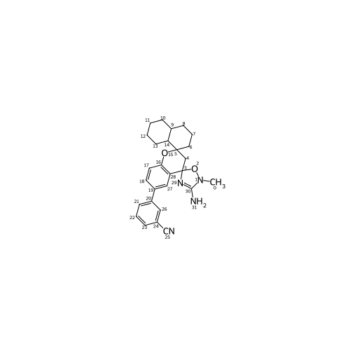 CN1OC2(CC3(CCCC4CCCCC43)Oc3ccc(-c4cccc(C#N)c4)cc32)N=C1N